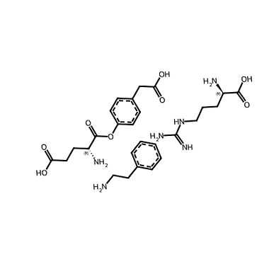 N=C(N)NCCC[C@@H](N)C(=O)O.NCCc1ccccc1.N[C@H](CCC(=O)O)C(=O)Oc1ccc(CC(=O)O)cc1